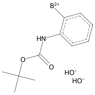 [B+2]c1ccccc1NC(=O)OC(C)(C)C.[OH-].[OH-]